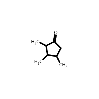 CC1CC(=O)C(C)C1C